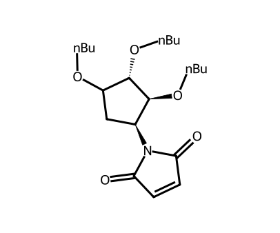 CCCCOC1C[C@H](N2C(=O)C=CC2=O)[C@H](OCCCC)[C@H]1OCCCC